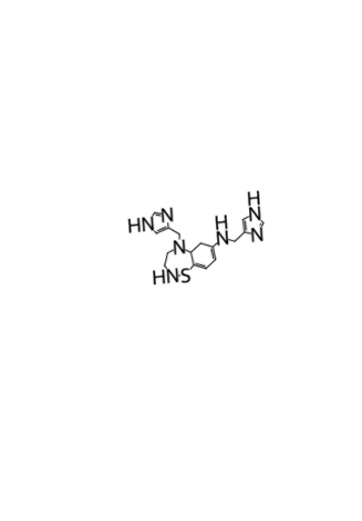 C1=C(NCc2c[nH]cn2)CC2C(=C1)SNCCN2Cc1c[nH]cn1